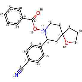 N#Cc1ccc(C2CC3(CCCO3)CCN2OC(=O)c2ccccc2)cc1